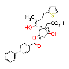 CC(CCc1cccs1)=C(O)[C@@H]1[C@@H](CC(=O)O)[C@@H](O)C[C@@H]1OC(=O)c1ccc(-c2ccccc2)cc1